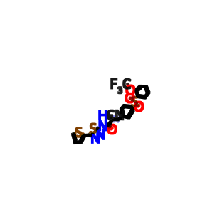 N#C/C(=C\c1ccc(S(=O)(=O)c2ccccc2OC(F)(F)F)cc1)C(=O)Nc1nnc(-c2cccs2)s1